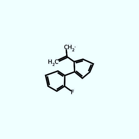 [CH2]C(=C)c1ccccc1-c1ccccc1F